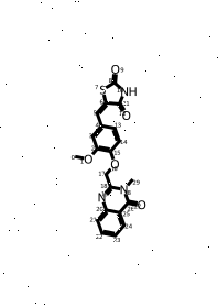 COc1cc(C=C2SC(=O)NC2=O)ccc1OCc1nc2ccccc2c(=O)n1C